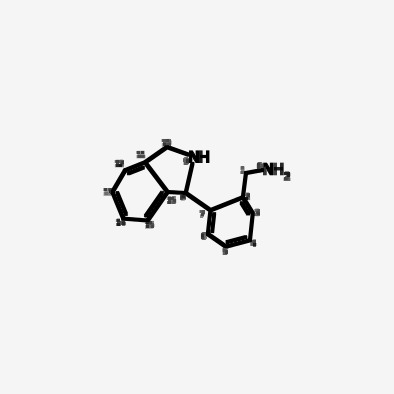 NCc1ccccc1C1NCc2ccccc21